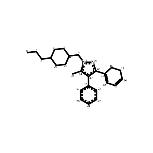 CCCC1CCC(Cn2nc(C3=CC=CCC3)c(-c3ccccc3)c2C)CC1